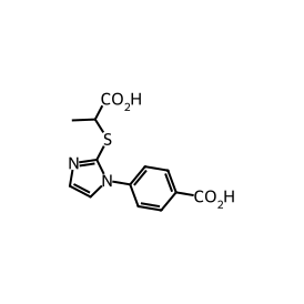 CC(Sc1nccn1-c1ccc(C(=O)O)cc1)C(=O)O